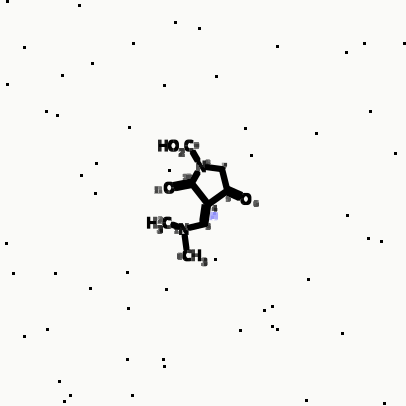 CN(C)/C=C1/C(=O)CN(C(=O)O)C1=O